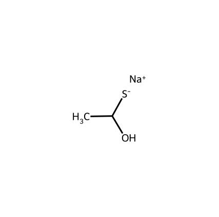 CC(O)[S-].[Na+]